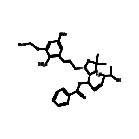 COCOc1cc(OC)cc(/C=C/C[C@@H]2OC(C)(C)O[C@@H]2C(/C=C\C(C(C)O)C(F)(F)F)OC(=O)c2ccccc2)c1C(=O)O